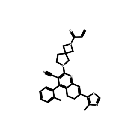 C=CC(=O)N1CC2(CCN(c3nc4c(c(-c5ccccc5C)c3C#N)CCC(c3scnc3C)=C4)C2)C1